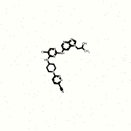 CC(O)Cn1cnc2ncc(Nc3ncc(Cl)c(NC4CCN(c5ccc(C#N)nn5)CC4)n3)cc21